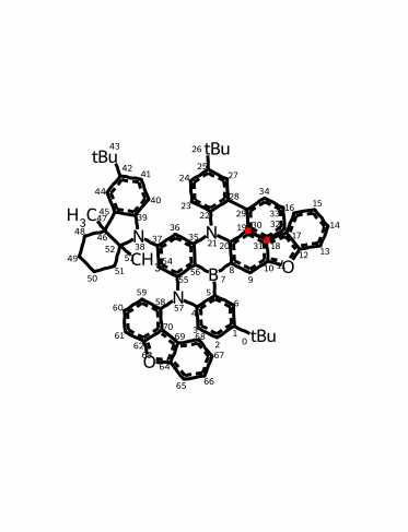 CC(C)(C)c1ccc2c(c1)B1c3cc4oc5ccccc5c4cc3N(c3ccc(C(C)(C)C)cc3-c3ccccc3)c3cc(N4c5ccc(C(C)(C)C)cc5C5(C)CCCCC45C)cc(c31)N2c1cccc2oc3ccccc3c12